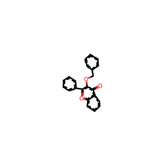 O=c1c(OCc2ccccc2)c(-c2ccccc2)oc2ccccc12